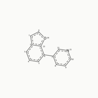 [c]1cc2cccc(-c3cccnc3)c2o1